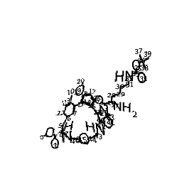 COC(=O)[C@@H]1CC2C=C(C(C)=CC2)c2cc(ccc2OC)C(N(C)C(=O)C(N)CCCCNC(=O)OC(C)(C)C)C(=O)NCCOCN1